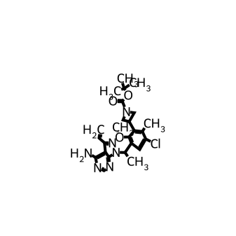 C=Cc1nn(C(C)c2cc(Cl)c(C)c(C3CN(C(=O)OC(C)(C)C)C3)c2OC)c2ncnc(N)c12